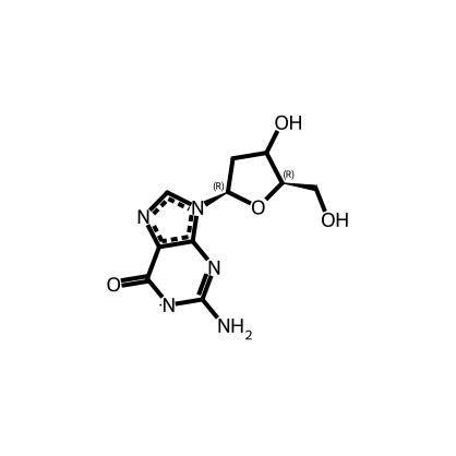 NC1=Nc2c(ncn2[C@H]2CC(O)[C@@H](CO)O2)C(=O)[N]1